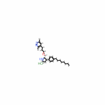 CCCCCCCCc1ccc([C@H]2CCN[C@@H]2COCCCc2cc(C)nnc2C)cc1.Cl